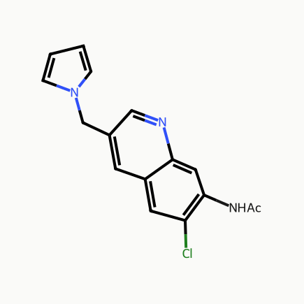 CC(=O)Nc1cc2ncc(Cn3cccc3)cc2cc1Cl